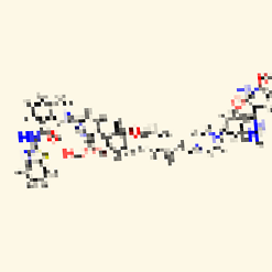 Cc1c(OC2CCC([C@H](C)CCN3CCN(c4ccc5c(C6CCC(=O)NC6=O)nn(C)c5c4)CC3)CC2)cccc1-c1ccc(N2CCc3cccc(C(=O)Nc4nc5ccccc5s4)c3C2)nc1C(=O)O